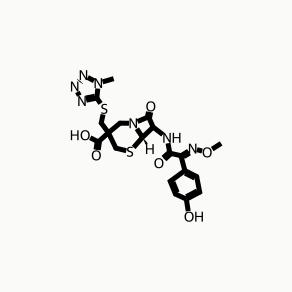 CON=C(C(=O)NC1C(=O)N2CC(CSc3nnnn3C)(C(=O)O)CS[C@H]12)c1ccc(O)cc1